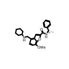 COc1ccc(CNC2CCCCC2)c2cc(C(=O)N[C@@H](C)c3ccccc3)oc12